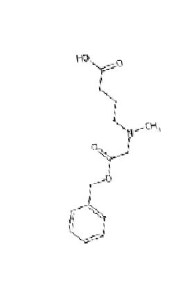 CN(CCCC(=O)O)CC(=O)OCc1ccccc1